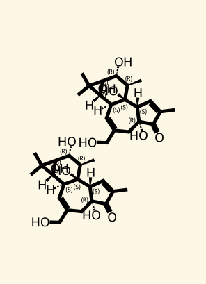 CC1=C[C@H]2[C@@]3(O)[C@H](C)[C@@H](O)[C@]4(O)[C@H]([C@@H]3C=C(CO)C[C@]2(O)C1=O)C4(C)C.CC1=C[C@H]2[C@@]3(O)[C@H](C)[C@@H](O)[C@]4(O)[C@H]([C@@H]3C=C(CO)C[C@]2(O)C1=O)C4(C)C